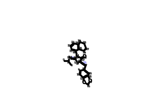 CC(C)/N=C1\S/C(=C\c2ccc3c(c2)OCO3)C(=O)N1c1cccc2c1CCCC2